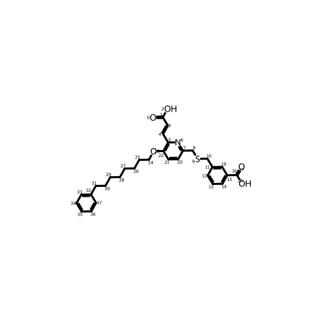 O=C(O)C=Cc1nc(CSCc2cccc(C(=O)O)c2)ccc1OCCCCCCCCc1ccccc1